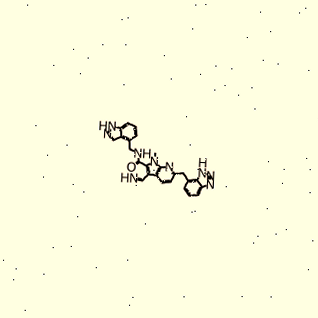 Cn1c(C(=O)NCc2cccc3[nH]ncc23)c(C=N)c2ccc(Cc3cccc4nn[nH]c34)nc21